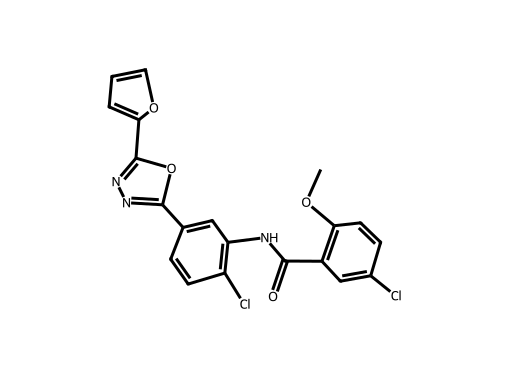 COc1ccc(Cl)cc1C(=O)Nc1cc(-c2nnc(-c3ccco3)o2)ccc1Cl